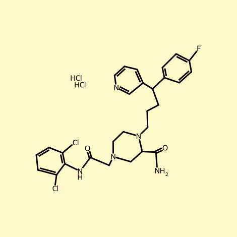 Cl.Cl.NC(=O)C1CN(CC(=O)Nc2c(Cl)cccc2Cl)CCN1CCCC(c1ccc(F)cc1)c1cccnc1